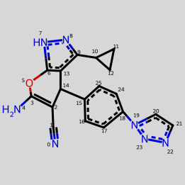 N#CC1=C(N)Oc2[nH]nc(C3CC3)c2C1c1ccc(-n2ccnn2)cc1